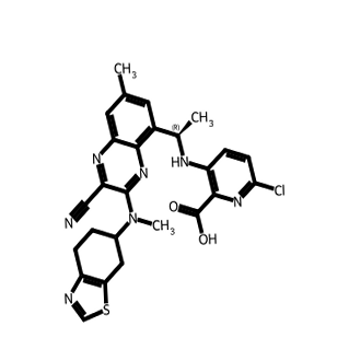 Cc1cc([C@@H](C)Nc2ccc(Cl)nc2C(=O)O)c2nc(N(C)C3CCc4ncsc4C3)c(C#N)nc2c1